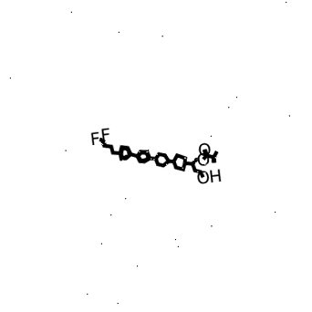 C=C(C)C(=O)OCC(CCO)C1CCC(C2CCC(c3ccc(-c4ccc(CCC=C(F)F)cc4)cc3)CC2)CC1